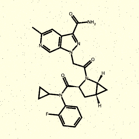 Cc1cc2c(C(N)=O)nn(CC(=O)N3[C@@H]4C[C@@H]4C[C@H]3C(=O)N(c3ccccc3F)C3CC3)c2cn1